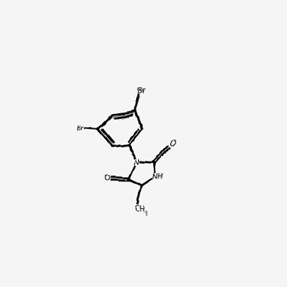 CC1NC(=O)N(c2cc(Br)cc(Br)c2)C1=O